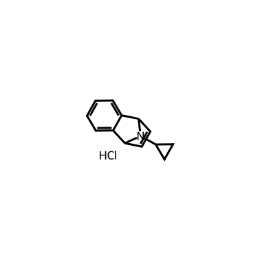 C1=CC2c3ccccc3C1N2C1CC1.Cl